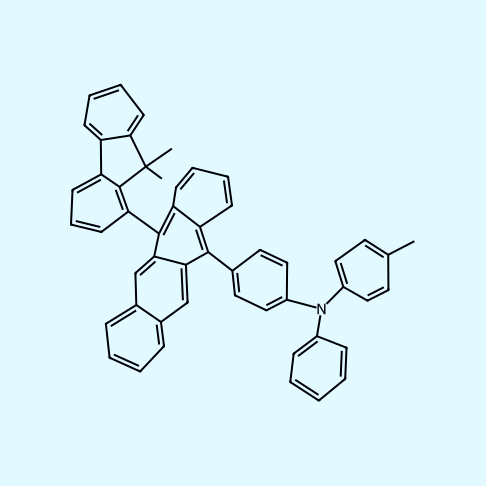 Cc1ccc(N(c2ccccc2)c2ccc(-c3c4ccccc4c(-c4cccc5c4C(C)(C)c4ccccc4-5)c4cc5ccccc5cc34)cc2)cc1